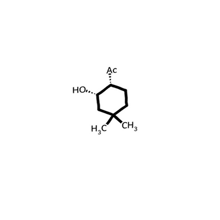 CC(=O)[C@@H]1CCC(C)(C)C[C@@H]1O